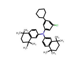 CC1(C)CCC(C)(C)c2cc(N(c3cc(Cl)cc(C4CCCCC4)c3)c3ccc4c(c3)C(C)(C)CCC4(C)C)ccc21